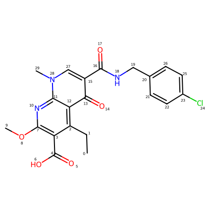 CCc1c(C(=O)O)c(OC)nc2c1c(=O)c(C(=O)NCc1ccc(Cl)cc1)cn2C